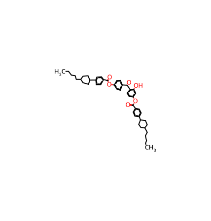 CCCCCC1CCC(c2ccc(C(=O)Oc3ccc(C(=O)c4ccc(OC(=O)c5ccc(C6CCC(CCCCC)CC6)cc5)cc4O)cc3)cc2)CC1